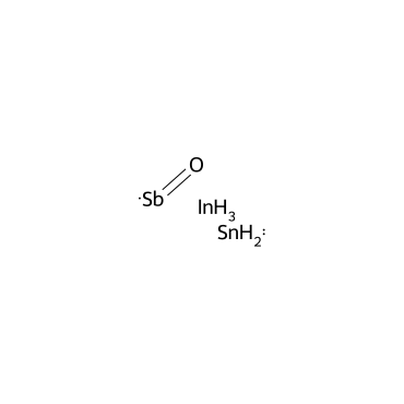 [InH3].[O]=[Sb].[SnH2]